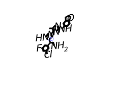 Cc1cnc(Nc2ccc3c(c2)CCO3)nc1N(C=N)/C=C/C(CN)c1cc(F)cc(Cl)c1